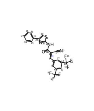 N#C/C(=C\c1cc(C(F)(F)F)cc(C(F)(F)F)c1)C(=O)Nc1nc(-c2ccccc2)cs1